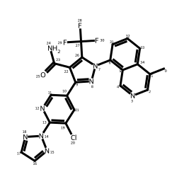 Cc1cncc2c(-n3nc(-c4cnc(-n5nccn5)c(Cl)c4)c(C(N)=O)c3C(F)(F)F)cccc12